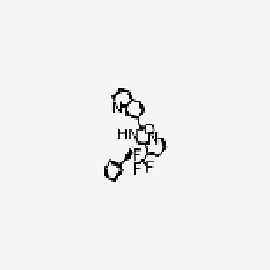 O=C(N[C@@H](C#Cc1ccccc1)c1ncccc1C(F)(F)F)c1ccc2cccnc2c1